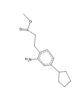 COC(=O)CCc1ccc(C2CCCC2)cc1N